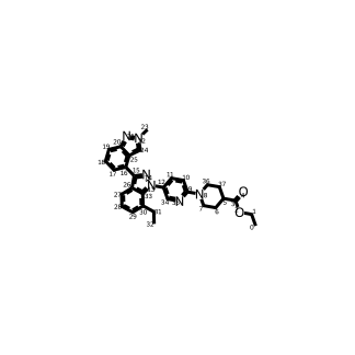 CCOC(=O)C1CCN(c2ccc(-n3nc(-c4cccc5nn(C)cc45)c4cccc(CC)c43)cn2)CC1